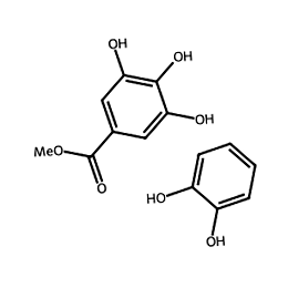 COC(=O)c1cc(O)c(O)c(O)c1.Oc1ccccc1O